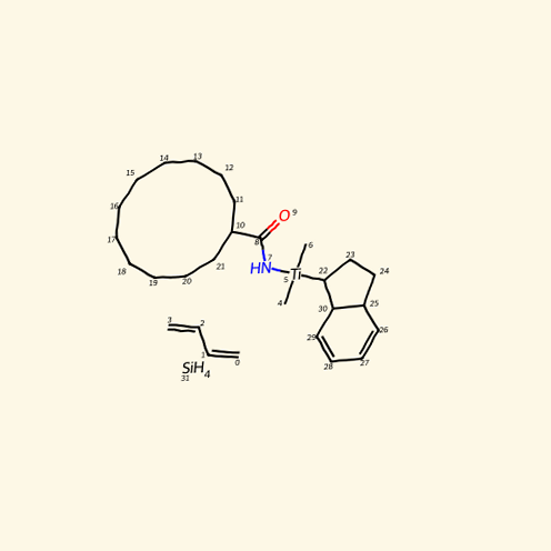 C=CC=C.[CH3][Ti]([CH3])([NH]C(=O)C1CCCCCCCCCCC1)[CH]1CCC2C=CC=CC21.[SiH4]